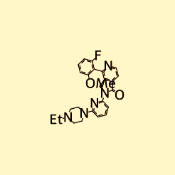 CCN1CCN(c2cccc(N3Cc4c(ccnc4-c4c(F)cccc4OC)C3=O)n2)CC1